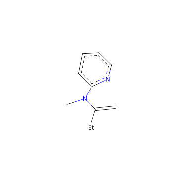 C=C(CC)N(C)c1ccccn1